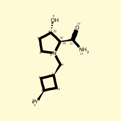 CC(C)[C@H]1C[C@@H](CN2CC[C@H](O)[C@H]2C(N)=O)C1